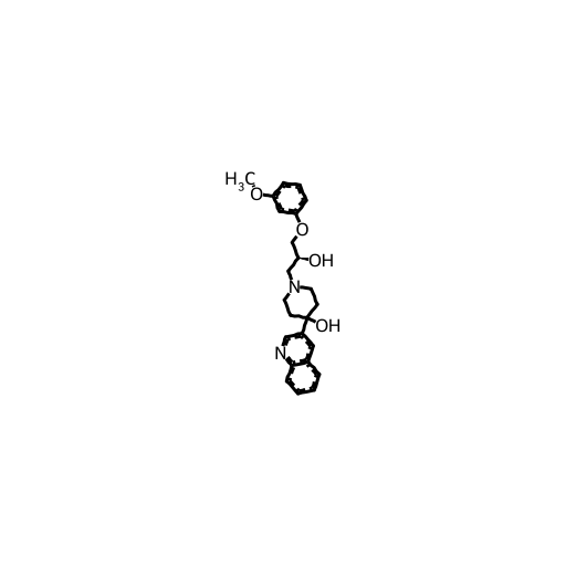 COc1cccc(OC[C@@H](O)CN2CCC(O)(c3cnc4ccccc4c3)CC2)c1